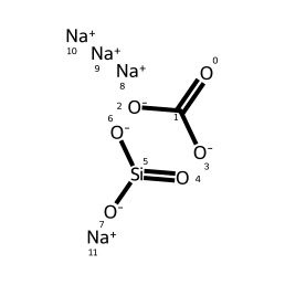 O=C([O-])[O-].O=[Si]([O-])[O-].[Na+].[Na+].[Na+].[Na+]